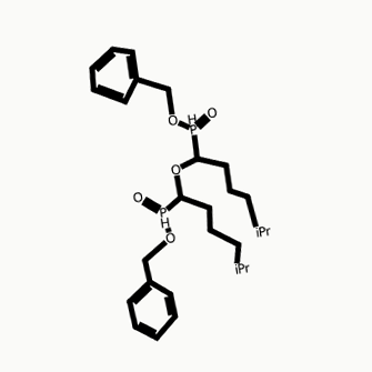 CC(C)CCCC(OC(CCCC(C)C)[PH](=O)OCc1ccccc1)[PH](=O)OCc1ccccc1